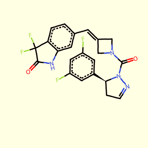 O=C(N1CC(=Cc2ccc3c(c2)NC(=O)C3(F)F)C1)N1N=CC[C@H]1c1cc(F)cc(F)c1